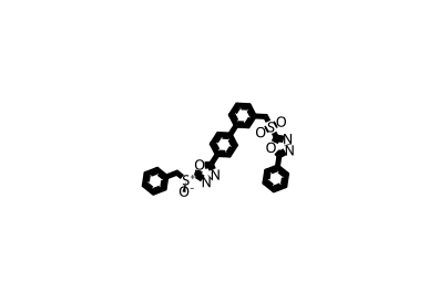 O=S(=O)(Cc1cccc(-c2ccc(-c3nnc([S@@+]([O-])Cc4ccccc4)o3)cc2)c1)c1nnc(-c2ccccc2)o1